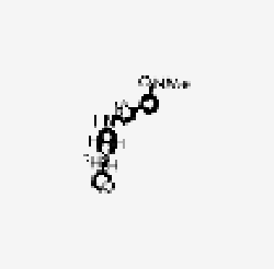 [2H]C([2H])([C@@H]1CCCOC1)N1C[C@H]2CC(Nc3ccc(-c4cccc(C(=O)NC)c4)nn3)C[C@H]2C1